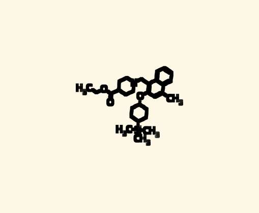 CCOC(=O)C1CCN(Cc2c(O[C@H]3CC[C@@H]([Si](C)(C)C)CC3)cc(C)c3ccccc23)CC1